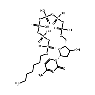 NCCCCCCOP(=O)(O)OP(=O)(O)OP(=O)(O)OP(=O)(O)OP(=O)(O)OP(=O)(O)OC[C@H]1O[C@@H](n2ccc(N)nc2=O)CC1O